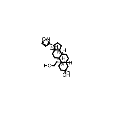 C[C@@]1(O)CC[C@@]2(CCO)[C@H](CC[C@H]3[C@@H]4CC[C@H](c5ccon5)[C@@]4(C)CC[C@@H]32)C1